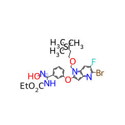 CCOC(=O)N/C(=N\O)c1cccc(Oc2cc3nc(Br)c(F)cc3n2COCC[Si](C)(C)C)c1